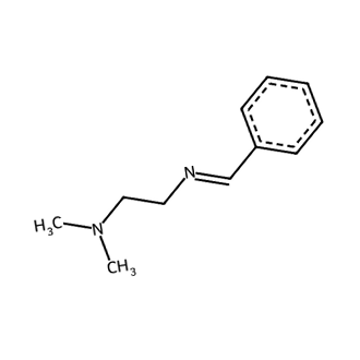 CN(C)CCN=Cc1ccccc1